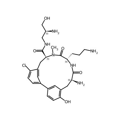 CN1C(=O)[C@H](CCCN)NC(=O)[C@@H](N)Cc2cc(ccc2O)-c2ccc(Cl)c(c2)C[C@H]1C(=O)NC[C@H](N)CO